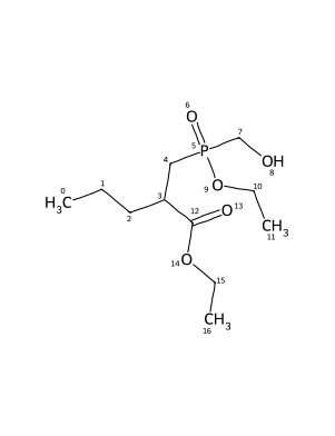 CCCC(CP(=O)(CO)OCC)C(=O)OCC